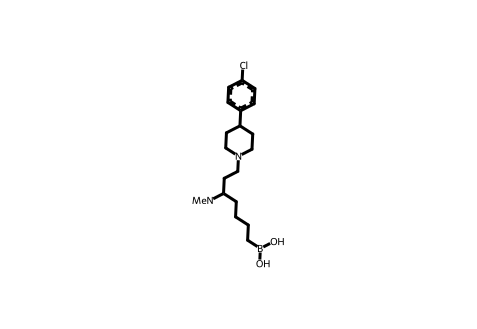 CNC(CCCCB(O)O)CCN1CCC(c2ccc(Cl)cc2)CC1